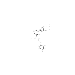 CCOC(=O)c1sc(-c2cncc(N(C)CCOc3ccc(F)cc3)n2)nc1C